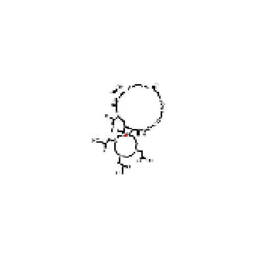 O=C(O)CN1CCN(CC(=O)O)CCN(C2C(=O)NCCOCCOCCC(=O)NCCCC[C@@H](C(=O)O)NC(=O)O[C@H](C(=O)O)CC2C(=O)O)CCN(CC(=O)O)CC1